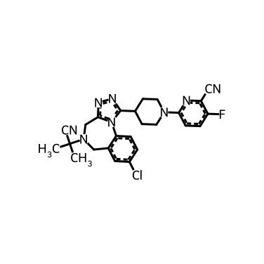 CC(C)(C#N)N1Cc2cc(Cl)ccc2-n2c(nnc2C2CCN(c3ccc(F)c(C#N)n3)CC2)C1